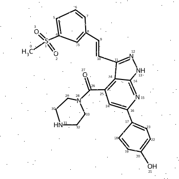 CS(=O)(=O)c1cccc(C=Cc2n[nH]c3nc(-c4ccc(O)cc4)cc(C(=O)N4CCNCC4)c23)c1